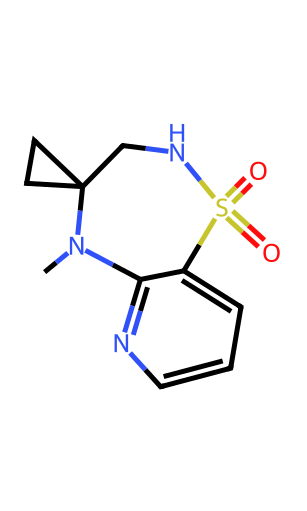 CN1c2ncccc2S(=O)(=O)NCC12CC2